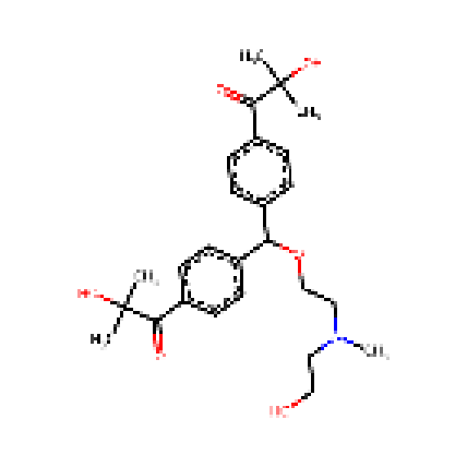 CN(CCO)CCOC(c1ccc(C(=O)C(C)(C)O)cc1)c1ccc(C(=O)C(C)(C)O)cc1